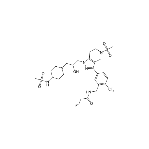 CC(C)CC(=O)NCc1cc(-c2nn(CC(O)CN3CCC(NS(C)(=O)=O)CC3)c3c2CN(S(C)(=O)=O)CC3)ccc1C(F)(F)F